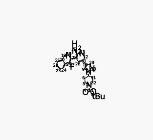 CC(C)(C)OC(=O)N1CCC(n2cc(-c3cnc(N)c(-c4ncc5ccccc5c4F)c3)cn2)CC1